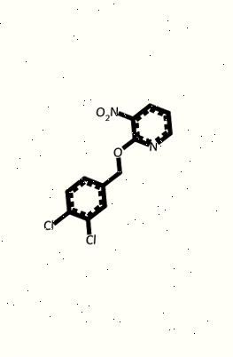 O=[N+]([O-])c1cccnc1OCc1ccc(Cl)c(Cl)c1